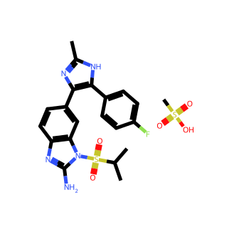 CS(=O)(=O)O.Cc1nc(-c2ccc3nc(N)n(S(=O)(=O)C(C)C)c3c2)c(-c2ccc(F)cc2)[nH]1